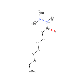 CCCCCCCCCCCCCCCCCC(=O)N(CC)N(CCCC)CCCC